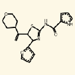 C=C(C1CCOCC1)C1SC(NC(=O)c2ccc[nH]2)=NC1c1ccco1